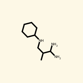 CC(CNC1CCCCC1)C(N)N